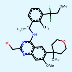 COCC(F)(F)c1cccc([C@@H](C)Nc2nc(CO)nc3cc(OC)c(C4(OC)CCOCC4)cc23)c1C